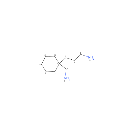 NCCCC1(CN)CCCCC1